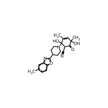 CC1=CC(C)(O)C(=O)C(C#N)C1(O)N1CCC(c2nc3cc(C)ccc3o2)CC1